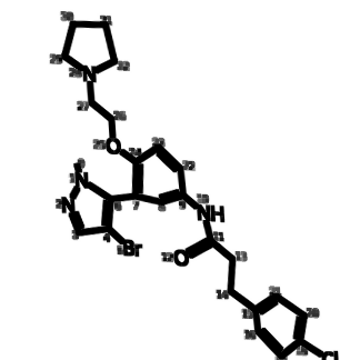 Cn1ncc(Br)c1-c1cc(NC(=O)CCc2ccc(Cl)cc2)ccc1OCCN1CCCC1